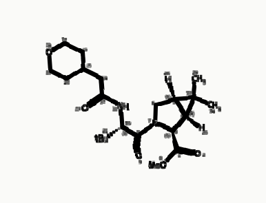 COC(=O)[C@@H]1[C@@H]2[C@H](CN1C(=O)[C@@H](NC(=O)CC1CCOCC1)C(C)(C)C)C2(C)C